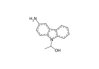 CC(O)n1c2ccccc2c2cc(N)ccc21